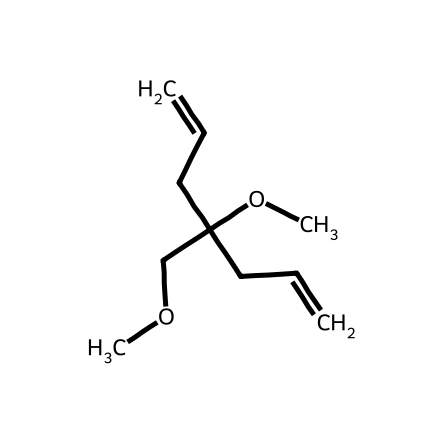 C=CCC(CC=C)(COC)OC